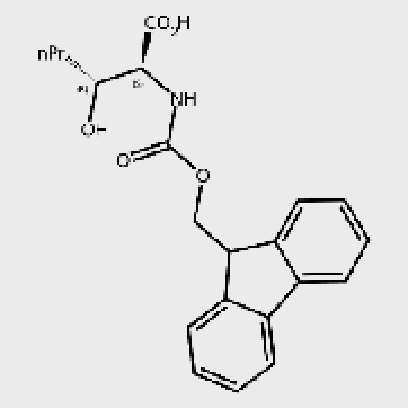 CCC[C@@H](O)[C@H](NC(=O)OCC1c2ccccc2-c2ccccc21)C(=O)O